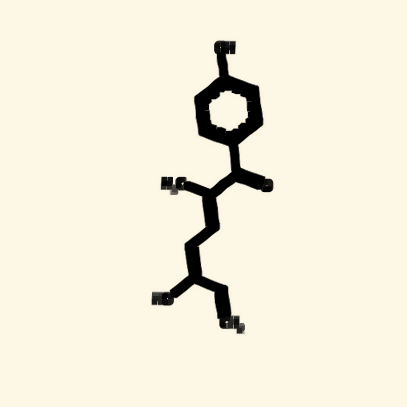 C=C/C(O)=C\C=C(/C)C(=O)c1ccc(O)cc1